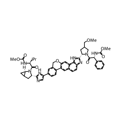 COCC1C[C@@H](c2nc3ccc4cc5c(cc4c3[nH]2)OCc2cc(-c3cnc([C@@H]4CC6C[C@H]6N4C(=O)[C@@H](NC(=O)OC)C(C)C)[nH]3)ccc2-5)N(C(=O)[C@H](NC(=O)OC)c2ccccc2)C1